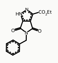 CCOC(=O)c1n[nH]c2c1C(=O)N(Cc1ccccc1)C2=O